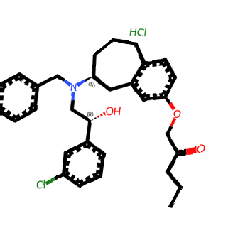 CCCC(=O)COc1ccc2c(c1)C[C@@H](N(Cc1ccccc1)C[C@H](O)c1cccc(Cl)c1)CCC2.Cl